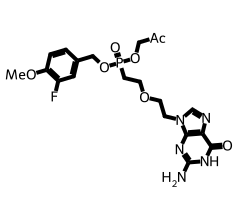 COc1ccc(COP(=O)(CCOCCn2cnc3c(=O)[nH]c(N)nc32)OCC(C)=O)cc1F